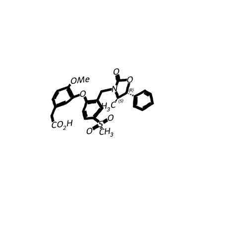 COc1ccc(CC(=O)O)cc1Oc1ccc(S(C)(=O)=O)cc1CN1C(=O)O[C@H](c2ccccc2)[C@@H]1C